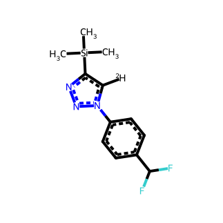 [2H]c1c([Si](C)(C)C)nnn1-c1ccc(C(F)F)cc1